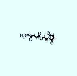 COC(=O)CCC(=O)OCCN1C(=O)C=CC1=O